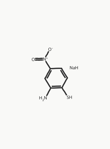 Nc1cc([N+](=O)[O-])ccc1S.[NaH]